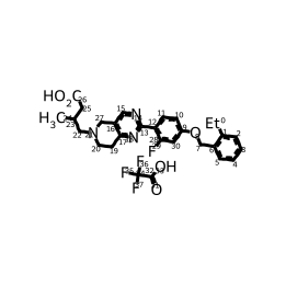 CCc1ccccc1COc1ccc(-c2ncc3c(n2)CCN(CC(C)CC(=O)O)C3)c(F)c1.O=C(O)C(F)(F)F